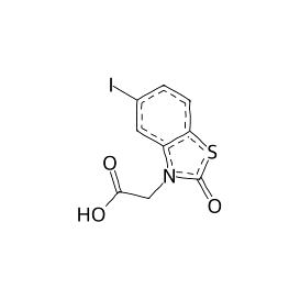 O=C(O)Cn1c(=O)sc2ccc(I)cc21